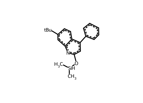 C[SiH](C)Oc1cc(-c2ccccc2)c2ccc(C(C)(C)C)cc2n1